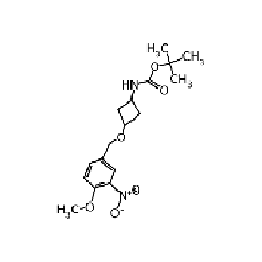 COc1ccc(COC2CC(NC(=O)OC(C)(C)C)C2)cc1[N+](=O)[O-]